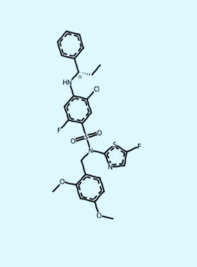 CC[C@H](Nc1cc(F)c(S(=O)(=O)N(Cc2ccc(OC)cc2OC)c2ncc(F)s2)cc1Cl)c1ccccc1